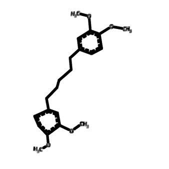 COc1ccc(CCCCCc2ccc(OC)c(OC)c2)cc1OC